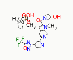 CC1(C)C2CCC1(C)C(S(=O)(=O)O)C2.Cn1c(C(=O)N2CC[C@H](O)C2)cc2cc(-c3cc(-c4noc(C(F)(F)F)n4)ccn3)ncc21